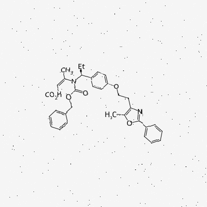 CC[C@@H](c1ccc(OCCc2nc(-c3ccccc3)oc2C)cc1)N(C(=O)OCc1ccccc1)/C(C)=C\C(=O)O